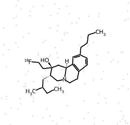 CCCCc1ccc2c(c1)[C@@H]1C[C@@](O)(CC[18F])[C@@H](CC(C)CC)CN1CC2